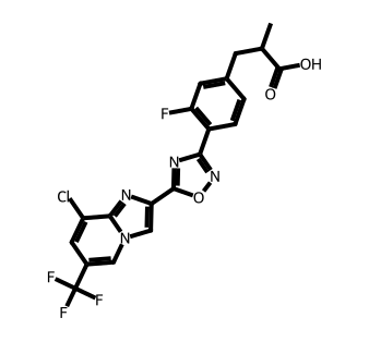 CC(Cc1ccc(-c2noc(-c3cn4cc(C(F)(F)F)cc(Cl)c4n3)n2)c(F)c1)C(=O)O